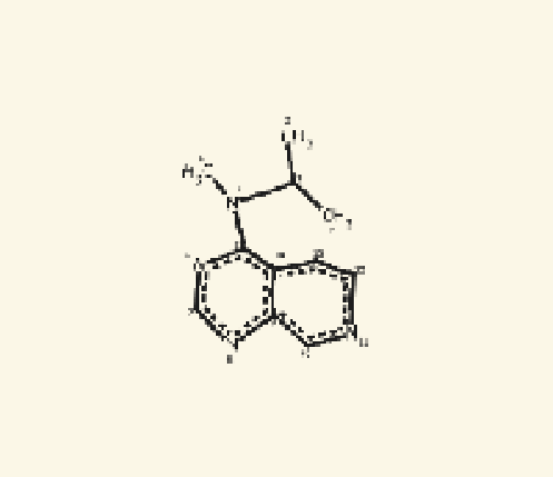 CC(C)N(C)c1ncnc2cnccc12